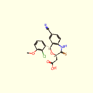 COc1cccc([C@H]2O[C@H](CC(=O)O)C(=S)Nc3ccc(C#N)cc32)c1Cl